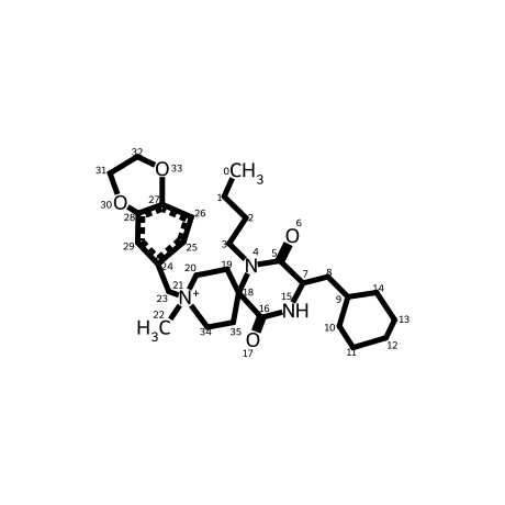 CCCCN1C(=O)C(CC2CCCCC2)NC(=O)C12CC[N+](C)(Cc1ccc3c(c1)OCCO3)CC2